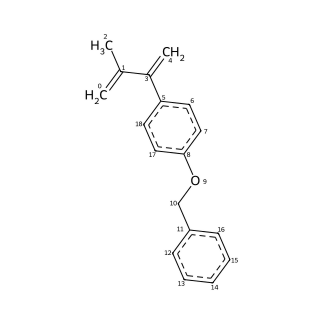 C=C(C)C(=C)c1ccc(OCc2ccccc2)cc1